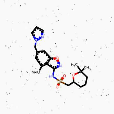 COc1cc(Cn2cccn2)cc2onc(NS(=O)(=O)CC3CCCC(C)(C)O3)c12